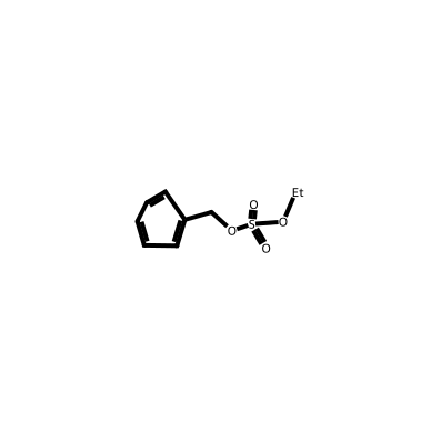 CCOS(=O)(=O)OCc1ccccc1